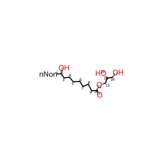 CCCCCCCCCC(O)CCCCCCCC(=O)OCC(O)CO